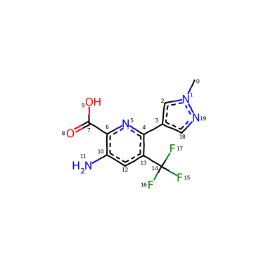 Cn1cc(-c2nc(C(=O)O)c(N)cc2C(F)(F)F)cn1